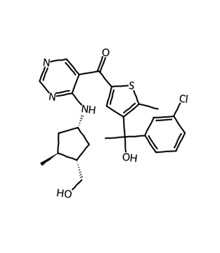 Cc1sc(C(=O)c2cncnc2N[C@@H]2C[C@H](CO)[C@@H](C)C2)cc1C(C)(O)c1cccc(Cl)c1